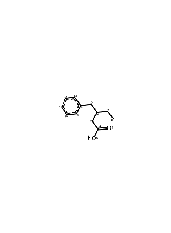 CCC(CC(=O)O)Cc1ccccc1